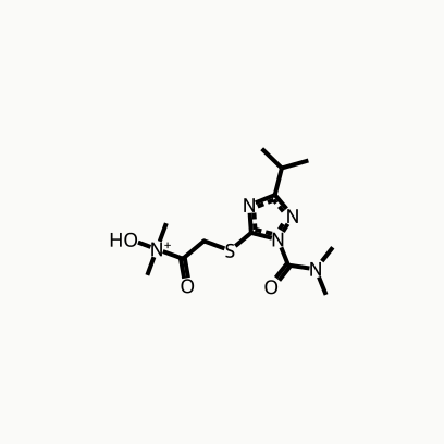 CC(C)c1nc(SCC(=O)[N+](C)(C)O)n(C(=O)N(C)C)n1